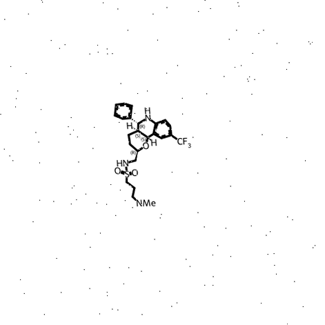 CNCCCS(=O)(=O)NC[C@H]1CC[C@@H]2[C@H](O1)c1cc(C(F)(F)F)ccc1N[C@H]2c1ccccc1